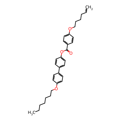 C=CCCCCOc1ccc(C(=O)Oc2ccc(-c3ccc(OCCCCCCC)cc3)cc2)cc1